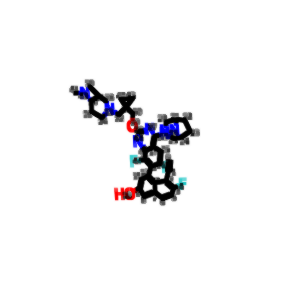 C#Cc1c(F)ccc2cc(O)cc(-c3c(F)cc4c(N5CC6CCC(C5)N6)nc(OCC5(CN6CCC7C(C6)CN7C)CC5)nc4c3F)c12